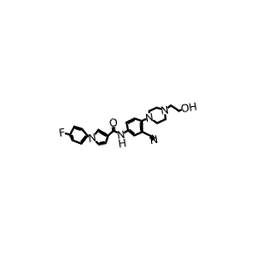 N#Cc1cc(NC(=O)c2ccn(-c3ccc(F)cc3)c2)ccc1N1CCN(CCO)CC1